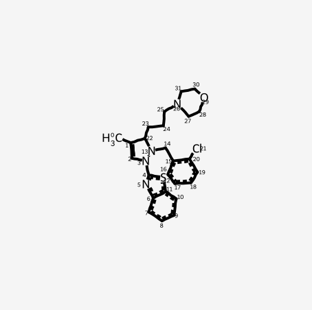 CC1=CN(c2nc3ccccc3s2)N(Cc2ccccc2Cl)C1CCCN1CCOCC1